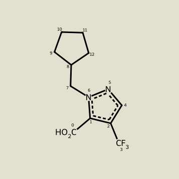 O=C(O)c1c(C(F)(F)F)cnn1CC1CCCC1